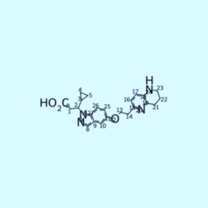 O=C(O)CC(C1CC1)n1ncc2cc(OCCc3ccc4c(n3)CCCN4)ccc21